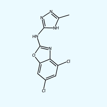 Cc1nnc(Nc2nc3c(Cl)cc(Cl)cc3o2)[nH]1